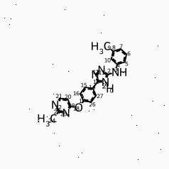 [2H]n1c(Nc2cccc(C)c2)nnc1-c1ccc(Oc2ccnc(C)n2)cc1